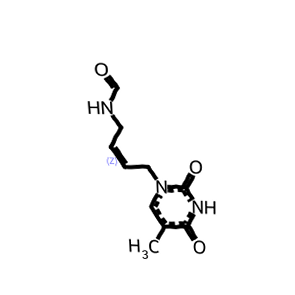 Cc1cn(C/C=C\CNC=O)c(=O)[nH]c1=O